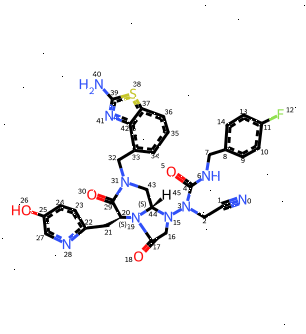 N#CCN(C(=O)NCc1ccc(F)cc1)N1CC(=O)N2[C@@H](Cc3ccc(O)cn3)C(=O)N(Cc3cccc4sc(N)nc34)C[C@@H]21